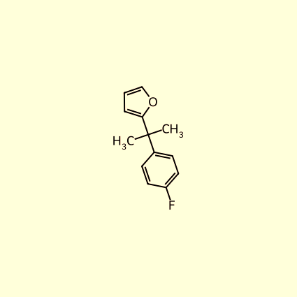 CC(C)(c1ccc(F)cc1)c1ccco1